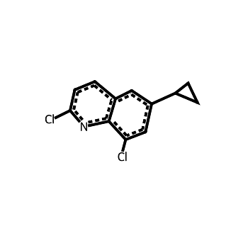 Clc1ccc2cc(C3CC3)cc(Cl)c2n1